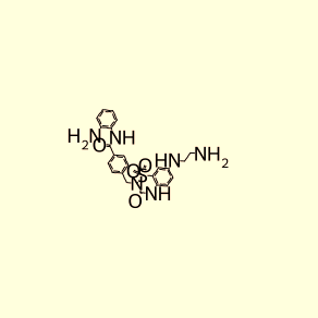 NCCNc1ccc2c(c1)S(=O)(=O)N(Cc1ccc(C(=O)Nc3ccccc3N)cc1)C(=O)N2